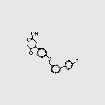 CC(=O)C(CC(=O)O)c1ccc(OCc2cccc(-c3ccc(F)cc3)c2)cc1